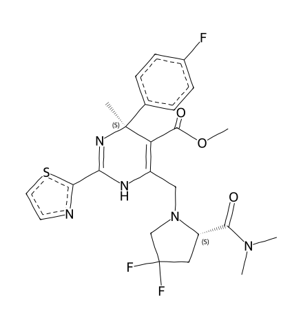 COC(=O)C1=C(CN2CC(F)(F)C[C@H]2C(=O)N(C)C)NC(c2nccs2)=N[C@@]1(C)c1ccc(F)cc1